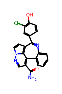 NC(=O)c1cnn2ccc3c2c1-c1ccccc1N=C3c1ccc(O)c(Cl)c1